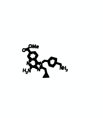 COC(=O)c1ccc2c(c1)nc(N)c1nc(CC3CC3)n(Cc3ccc(CN)cc3)c12